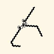 CCCCC/C=C\C/C=C\CCCCCCCCCCCC(=O)OC[C@@H](COC(=O)CCCCCCCCCCCCC)OC(=O)CCCCCCC/C=C\CCCCCCCC